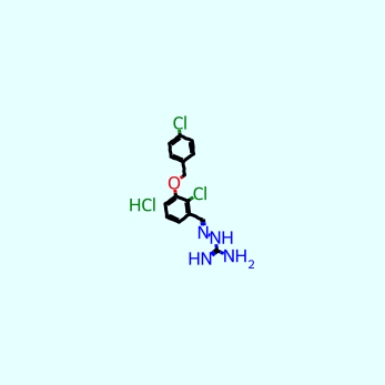 Cl.N=C(N)NN=Cc1cccc(OCc2ccc(Cl)cc2)c1Cl